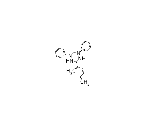 C=C/C=C\C(=C)C1NN(c2ccccc2)CN(c2ccccc2)N1